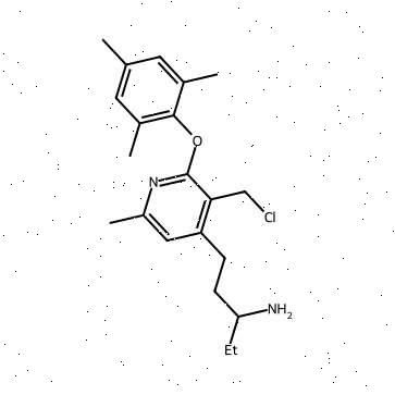 CCC(N)CCc1cc(C)nc(Oc2c(C)cc(C)cc2C)c1CCl